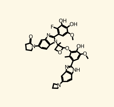 COc1cc(-c2nc3cc(N4CCCC4=O)ccc3n2C2(C)COC2Oc2c(C)c(-c3nc4cc(N5CCC5)ccc4[nH]3)cc(OC)c2O)c(F)c(O)c1O